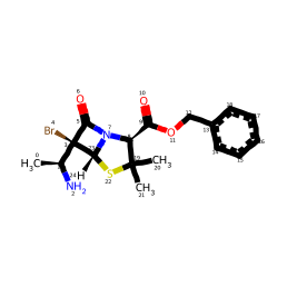 C[C@H](N)[C@]1(Br)C(=O)N2[C@@H](C(=O)OCc3ccccc3)C(C)(C)S[C@@H]21